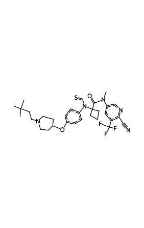 CN(C(=O)C1(N(C=S)c2ccc(OC3CCN(CCC(C)(C)C)CC3)cc2)CCC1)c1cnc(C#N)c(C(F)(F)F)c1